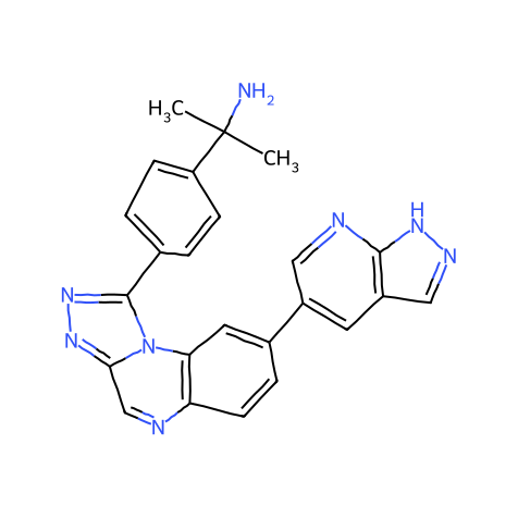 CC(C)(N)c1ccc(-c2nnc3cnc4ccc(-c5cnc6[nH]ncc6c5)cc4n23)cc1